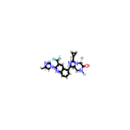 Cc1cn(-c2nc3cccc(-c4nc(C5CC5)n5c4CN(C)C(=O)[C@H]5C)c3cc2C(F)F)cn1